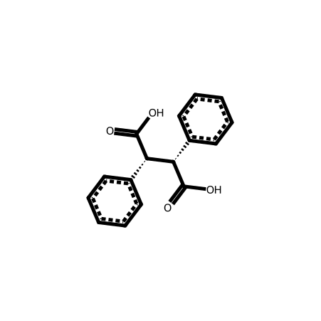 O=C(O)[C@@H](c1ccccc1)[C@@H](C(=O)O)c1ccccc1